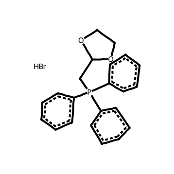 Br.c1ccc([P](CC2OCCO2)(c2ccccc2)c2ccccc2)cc1